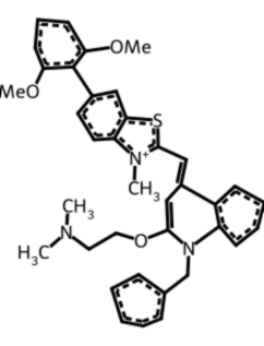 COc1cccc(OC)c1-c1ccc2c(c1)sc(C=C1C=C(OCCN(C)C)N(Cc3ccccc3)c3ccccc31)[n+]2C